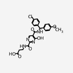 COc1ccc([C@@H](NC(=O)c2cnc(C(=O)NCCC(=O)O)nc2O)c2ccc(Cl)cc2)cc1